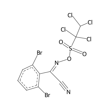 N#CC(=NOS(=O)(=O)C(Cl)(Cl)C(Cl)Cl)c1c(Br)cccc1Br